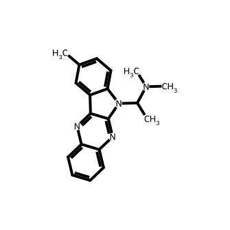 Cc1ccc2c(c1)c1nc3ccccc3nc1n2C(C)N(C)C